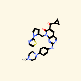 CN1CCN(c2ccc(Nc3ncc4cc(C(=O)C5CC5)c(=O)n(Cc5cccn5-c5nccs5)c4n3)cc2)CC1